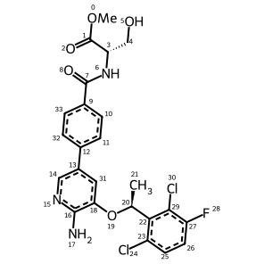 COC(=O)[C@H](CO)NC(=O)c1ccc(-c2cnc(N)c(O[C@@H](C)c3c(Cl)ccc(F)c3Cl)c2)cc1